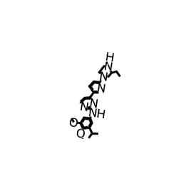 CCC1CN(c2ccc(-c3ccnc(Nc4cc(OC)c(OC)c(C(C)C)c4)n3)cn2)CCN1